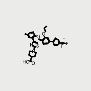 CCCOc1cc(-c2ccc(C(F)(F)F)cc2)ccc1COc1ccc(C)cc1-c1csc(N2CCC(C(=O)O)CC2)n1